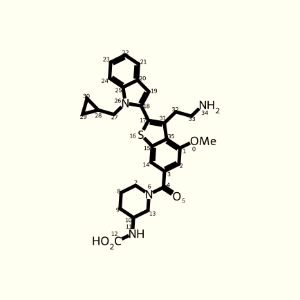 COc1cc(C(=O)N2CCCC(NC(=O)O)C2)cc2sc(-c3cc4ccccc4n3CC3CC3)c(CCN)c12